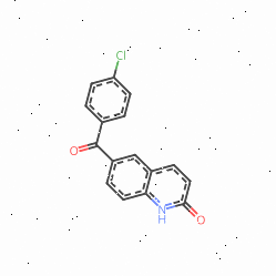 O=C(c1ccc(Cl)cc1)c1ccc2[nH]c(=O)ccc2c1